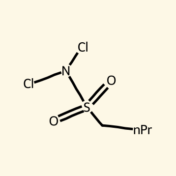 CCCCS(=O)(=O)N(Cl)Cl